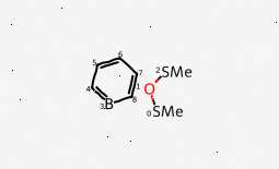 CSOSC.b1ccccc1